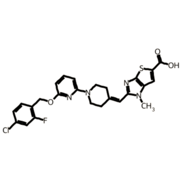 Cn1c(C=C2CCN(c3cccc(OCc4ccc(Cl)cc4F)n3)CC2)nc2sc(C(=O)O)cc21